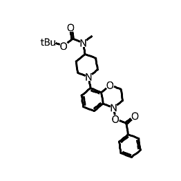 CN(C(=O)OC(C)(C)C)C1CCN(c2cccc3c2OCCN3OC(=O)c2ccccc2)CC1